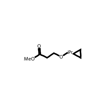 C1CC1.COC(=O)CCOC(C)C